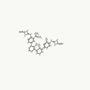 CN(C)c1nc(-c2cccc(-c3cccc(-c4cnc(CN5CC(O)C5)c(Cl)n4)c3Cl)c2Cl)cnc1CN1CC(O)C1